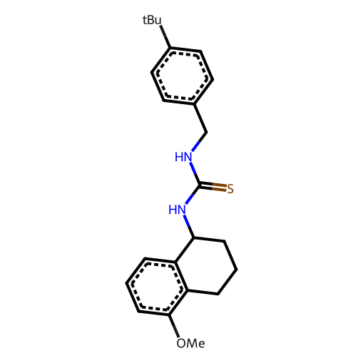 COc1cccc2c1CCCC2NC(=S)NCc1ccc(C(C)(C)C)cc1